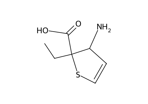 CCC1(C(=O)O)SC=CC1N